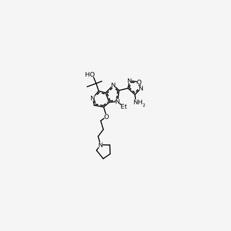 CCn1c(-c2nonc2N)nc2c(C(C)(C)O)ncc(OCCCN3CCCC3)c21